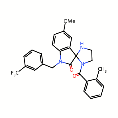 COc1ccc2c(c1)C1(NCCN1C(=O)c1ccccc1C)C(=O)N2Cc1cccc(C(F)(F)F)c1